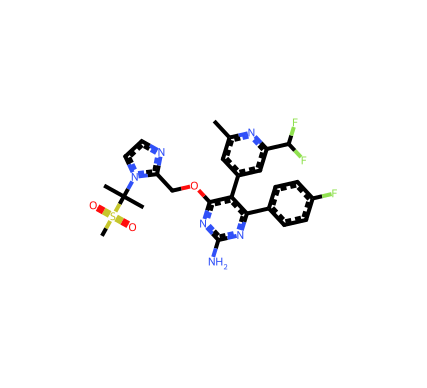 Cc1cc(-c2c(OCc3nccn3C(C)(C)S(C)(=O)=O)nc(N)nc2-c2ccc(F)cc2)cc(C(F)F)n1